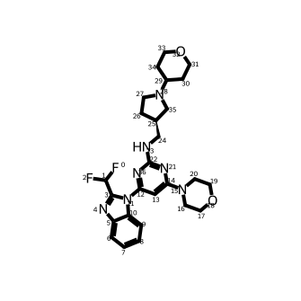 FC(F)c1nc2ccccc2n1-c1cc(N2CCOCC2)nc(NC[C@H]2CCN(C3CCOCC3)C2)n1